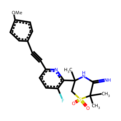 COc1ccc(C#Cc2ccc(F)c(C3(C)CS(=O)(=O)C(C)(C)C(=N)N3)n2)cc1